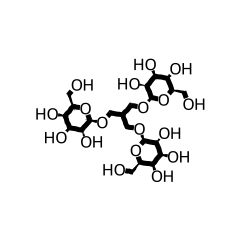 OC[C@H]1O[C@@H](OCC(CO[C@@H]2O[C@H](CO)[C@H](O)[C@H](O)[C@H]2O)CO[C@@H]2O[C@H](CO)[C@H](O)[C@H](O)[C@H]2O)[C@H](O)[C@@H](O)[C@H]1O